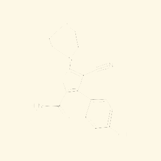 Cc1ccc(-c2c(C(N)=O)sc(N3CCOCC3)c2C#N)cc1